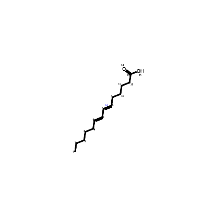 CCCCCC=C/C=C/CCCCC(=O)O